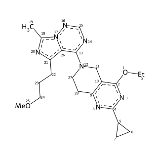 CCOc1nc(C2CC2)nc2c1CN(c1ncnn3c(C)nc(CCCOC)c13)CC2